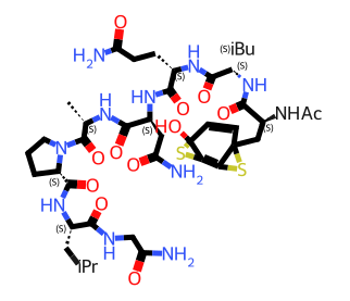 CC[C@H](C)[C@H](NC(=O)[C@H](CC12C=CC3(O)SC3=C1S2)NC(C)=O)C(=O)N[C@@H](CCC(N)=O)C(=O)N[C@@H](CC(N)=O)C(=O)N[C@@H](C)C(=O)N1CCC[C@H]1C(=O)N[C@@H](CC(C)C)C(=O)NCC(N)=O